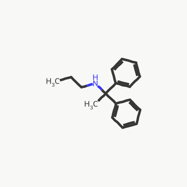 CCCNC(C)(c1ccccc1)c1ccccc1